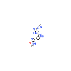 Cc1cn(-c2cncc3[nH]c(-c4n[nH]c5ccc(-c6cncc(NC(=O)C(C)C)c6)cc45)cc23)cn1